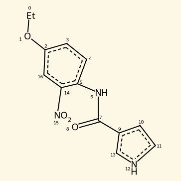 CCOc1ccc(NC(=O)c2cc[nH]c2)c([N+](=O)[O-])c1